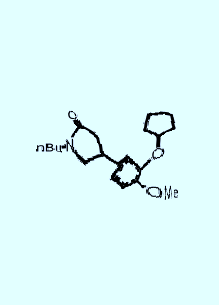 CCCCN1CC(c2ccc(OC)c(OC3CCCC3)c2)CC1=O